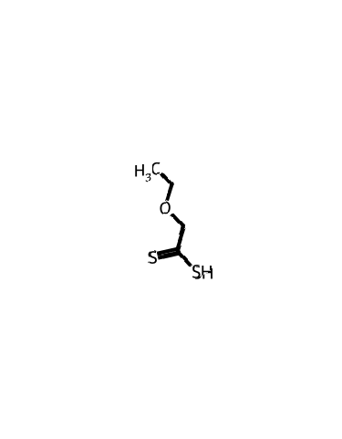 CCOCC(=S)S